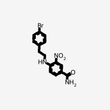 NC(=O)c1ccc(NCCc2ccc(Br)cc2)c([N+](=O)[O-])c1